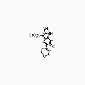 CCOC(=O)C1c2cc(N3CCOCC3)c(Cl)cc2NC1N